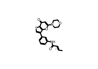 C/C=C/C(=O)Nc1cccc(-c2csc3c(=O)cc(N4CCOCC4)oc23)c1